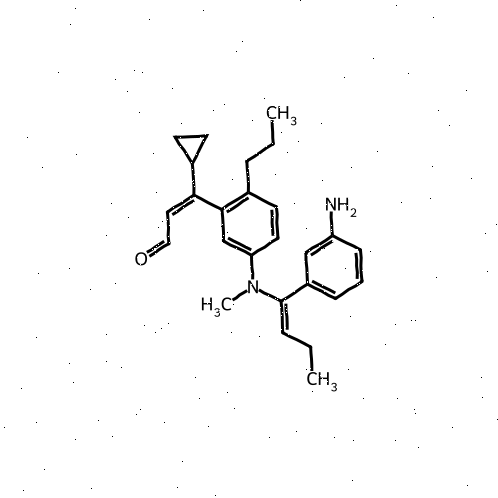 CC/C=C(\c1cccc(N)c1)N(C)c1ccc(CCC)c(/C(=C\C=O)C2CC2)c1